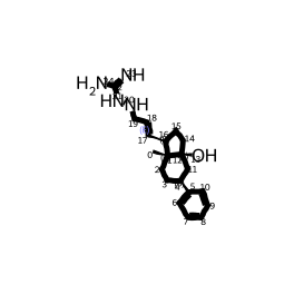 C[C@]12CC[C@H](c3ccccc3)C[C@@]1(O)CC[C@@H]2/C=C/CNNC(=N)N